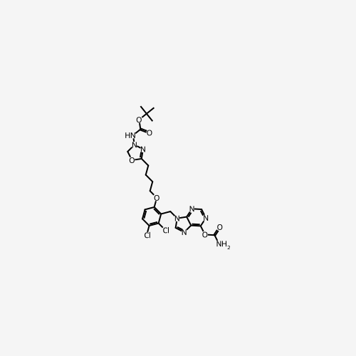 CC(C)(C)OC(=O)NN1COC(CCCCOc2ccc(Cl)c(Cl)c2Cn2cnc3c(OC(N)=O)ncnc32)=N1